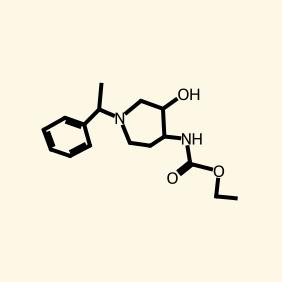 CCOC(=O)NC1CCN(C(C)c2ccccc2)CC1O